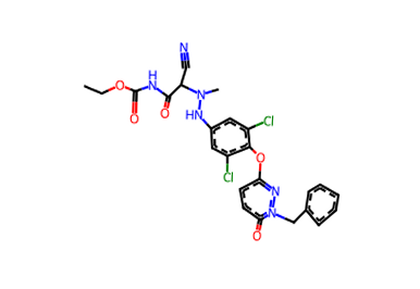 CCOC(=O)NC(=O)C(C#N)N(C)Nc1cc(Cl)c(Oc2ccc(=O)n(Cc3ccccc3)n2)c(Cl)c1